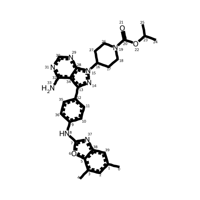 Cc1cc(C)c2oc(Nc3ccc(-c4nn(C5CCN(C(=O)OC(C)C)CC5)c5ncnc(N)c45)cc3)nc2c1